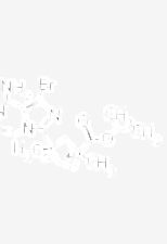 CC(C)OC(=O)[C@]1(C)CC[C@](C)(c2nc(Br)c3c(N)nccn23)C1